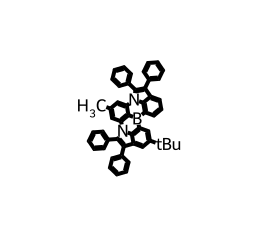 Cc1cc2c3c(c1)-n1c(-c4ccccc4)c(-c4ccccc4)c4cc(C(C)(C)C)cc(c41)B3c1cccc3c(-c4ccccc4)c(-c4ccccc4)n-2c13